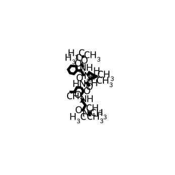 C=CCCC(NC(=O)[C@@H]1[C@@H]2[C@H](CN1C(=O)[C@@H](NC(=O)OC(C)(C)C)C1CCCCC1)C2(C)C)C(=O)C(=O)NCCC(=O)N(C)C(C)(C)C